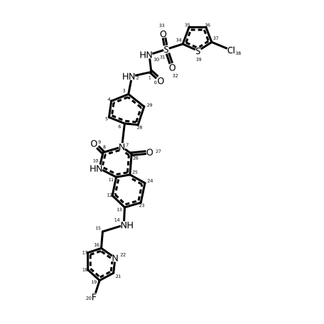 O=C(Nc1ccc(-n2c(=O)[nH]c3cc(NCc4ccc(F)cn4)ccc3c2=O)cc1)NS(=O)(=O)c1ccc(Cl)s1